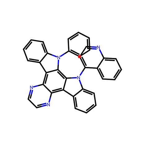 c1ccc(-n2c3ccccc3c3c4nccnc4c4c5ccccc5n(-c5ccnc6ccccc56)c4c32)cc1